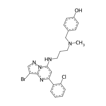 CN(CCCNc1cc(-c2ccccc2Cl)nc2c(Br)cnn12)Cc1ccc(O)cc1